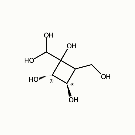 OCC1[C@@H](O)[C@H](O)C1(O)C(O)O